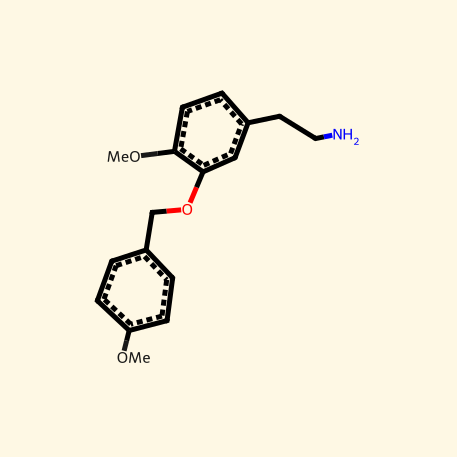 COc1ccc(COc2cc(CCN)ccc2OC)cc1